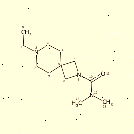 CCN1CCC2(CC1)CN(C(=O)N(C)C)C2